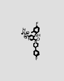 CNS(=O)(=O)c1cc(Nc2ccc(F)cc2C)c(C(=O)N2CCC(c3ccc(F)cc3)CC2)cn1